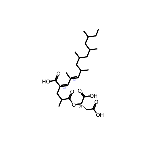 CCC(C)CC(C)CC(C)CC(C)/C=C(C)/C=C(/CC(C)C(=O)O[C@@H](CC(=O)O)C(=O)O)C(=O)O